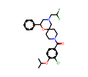 CC(C)Oc1ccc(C(=O)N2CCC3(CC2)CN(CC(F)F)CC(c2ccccc2)O3)cc1Cl